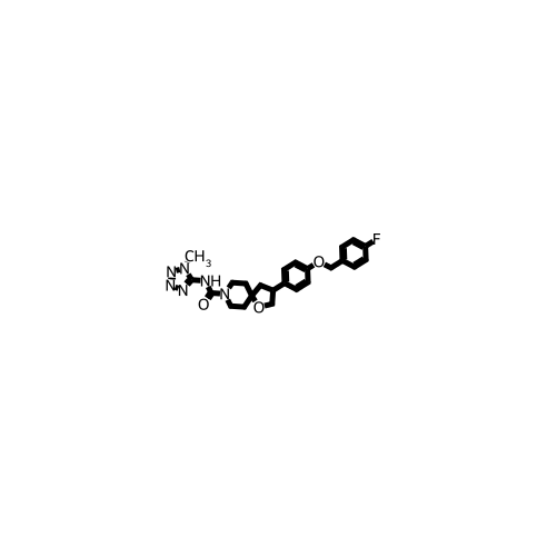 Cn1nnnc1NC(=O)N1CCC2(CC1)CC(c1ccc(OCc3ccc(F)cc3)cc1)CO2